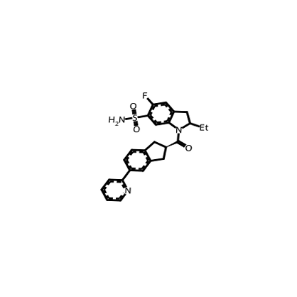 CCC1Cc2cc(F)c(S(N)(=O)=O)cc2N1C(=O)[C@@H]1Cc2ccc(-c3ccccn3)cc2C1